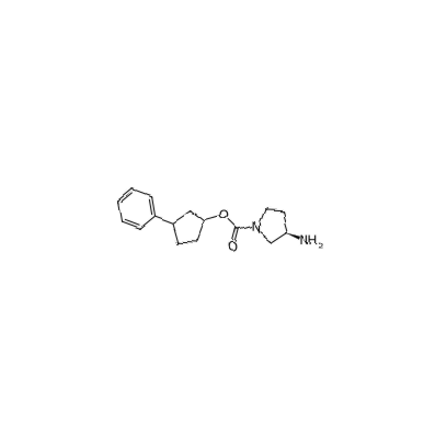 N[C@@H]1CCN(C(=O)OC2CCC(c3ccccc3)C2)C1